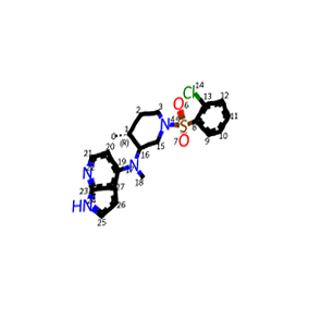 C[C@@H]1CCN(S(=O)(=O)c2ccccc2Cl)CC1N(C)c1ccnc2[nH]ccc12